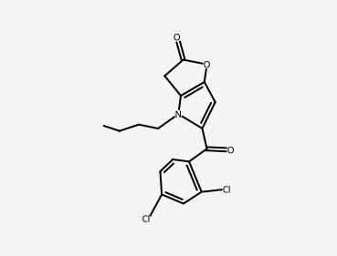 CCCCn1c(C(=O)c2ccc(Cl)cc2Cl)cc2c1CC(=O)O2